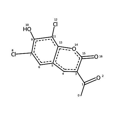 CC(=O)c1cc2cc(Cl)c(O)c(Cl)c2oc1=O